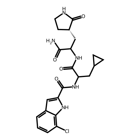 NC(=O)C(C[C@@H]1CCNC1=O)NC(=O)C(CC1CC1)NC(=O)c1cc2cccc(Cl)c2[nH]1